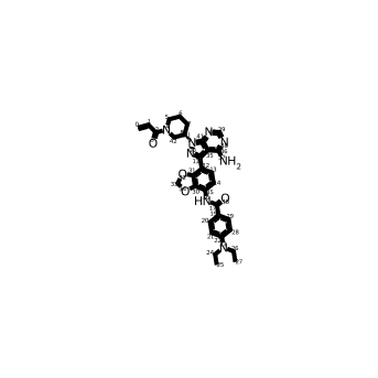 C=CC(=O)N1CCC[C@@H](n2nc(-c3ccc(NC(=O)c4ccc(N(CC)CC)cc4)c4c3OCO4)c3c(N)ncnc32)C1